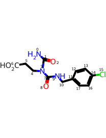 NC(=O)N(CCC(=O)O)C(=O)NCc1ccc(Cl)cc1